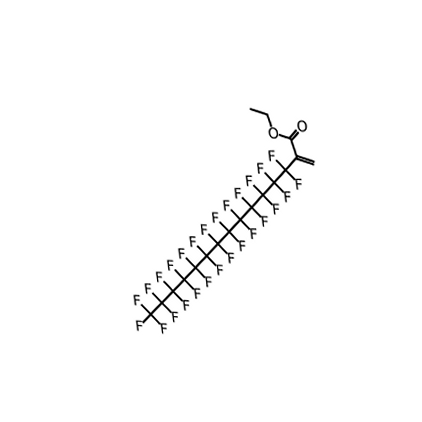 C=C(C(=O)OCC)C(F)(F)C(F)(F)C(F)(F)C(F)(F)C(F)(F)C(F)(F)C(F)(F)C(F)(F)C(F)(F)C(F)(F)C(F)(F)C(F)(F)C(F)(F)F